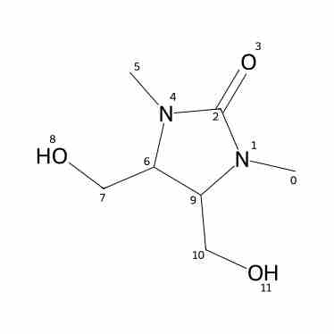 CN1C(=O)N(C)C(CO)C1CO